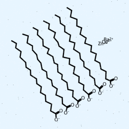 CCCCCCCCCCCCCCCCCC(=O)[O-].CCCCCCCCCCCCCCCCCC(=O)[O-].CCCCCCCCCCCCCCCCCC(=O)[O-].CCCCCCCCCCCCCCCCCC(=O)[O-].CCCCCCCCCCCCCCCCCC(=O)[O-].CCCCCCCCCCCCCCCCCC(=O)[O-].[Ba+2].[Cd+2].[Zn+2]